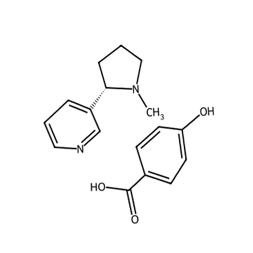 CN1CCC[C@H]1c1cccnc1.O=C(O)c1ccc(O)cc1